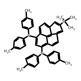 Cc1ccc(N(c2ccc(C)cc2)c2cc(N(c3ccc(C)cc3)c3ccc(C)cc3)c3ccc4cc([Si](C)(C)C)cc5ccc2c3c54)cc1